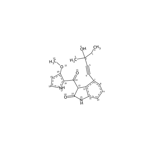 CCC(C)(O)C#Cc1cccc2c1C(C(=O)c1[nH]ccc1OC)C(=O)N2